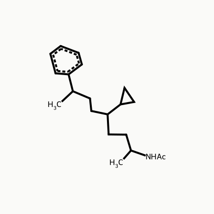 CC(=O)NC(C)CCC(CCC(C)c1ccccc1)C1CC1